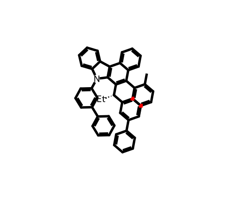 CC[C@@H](c1cccc(-c2ccccc2)c1)c1c(-c2ccccc2C)c2ccccc2c2c3ccccc3n(-c3cccc(-c4ccccc4)c3)c12